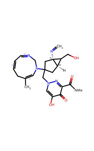 C=N[C@@]12CC(Cn3cc(O)c(=O)c(C(=O)NC)n3)(N3/C=C(/C)C/C=C\C=N/C3)C[C@@H]1C2CO